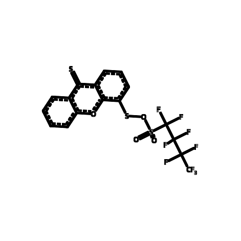 O=S(=O)(OSc1cccc2c(=S)c3ccccc3oc12)C(F)(F)C(F)(F)C(F)(F)C(F)(F)F